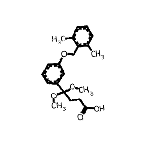 COC(CCC(=O)O)(OC)c1cccc(OCc2c(C)cccc2C)c1